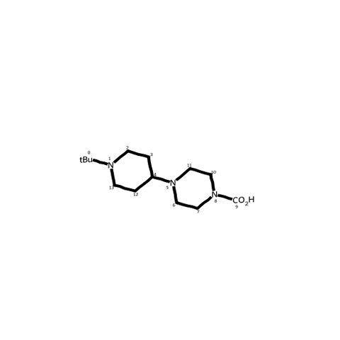 CC(C)(C)N1CCC(N2CCN(C(=O)O)CC2)CC1